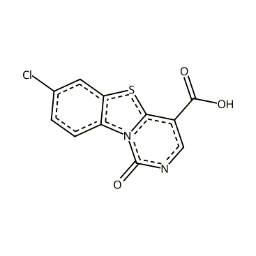 O=C(O)c1cnc(=O)n2c1sc1cc(Cl)ccc12